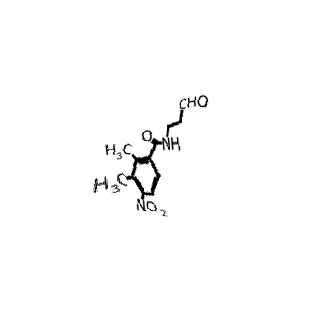 Cc1c(C(=O)NCCC=O)ccc([N+](=O)[O-])c1C